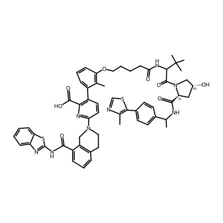 Cc1ncsc1-c1ccc(C(C)NC(=O)[C@@H]2C[C@@H](O)CN2C(=O)C(NC(=O)CCCCOc2cccc(-c3ccc(N4CCc5cccc(C(=O)Nc6nc7ccccc7s6)c5C4)nc3C(=O)O)c2C)C(C)(C)C)cc1